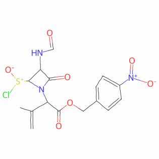 C=C(C)C(C(=O)OCc1ccc([N+](=O)[O-])cc1)N1C(=O)C(NC=O)C1[S+]([O-])Cl